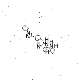 N#CC(Cc1ccc(-c2cnn(-c3ccccc3)c2)cc1F)NC(=O)[C@H]1N[C@@H]2CC[C@H]1C2